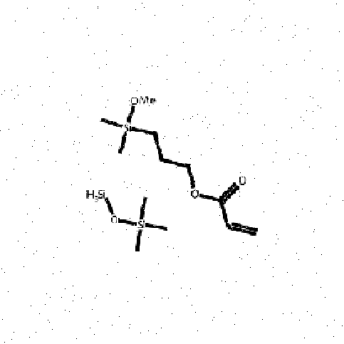 C=CC(=O)OCCC[Si](C)(C)OC.C[Si](C)(C)O[SiH3]